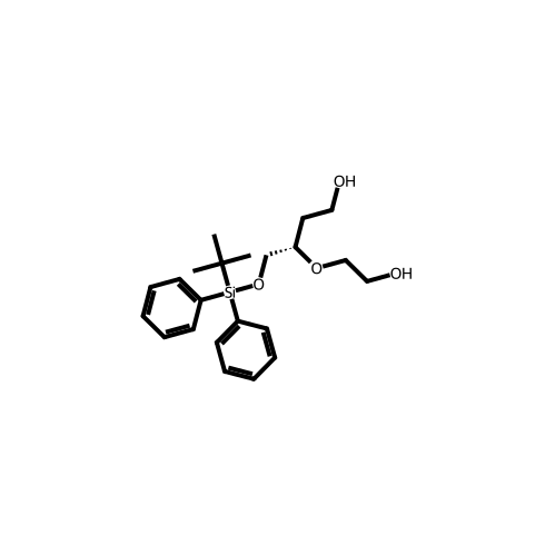 CC(C)(C)[Si](OC[C@H](CCO)OCCO)(c1ccccc1)c1ccccc1